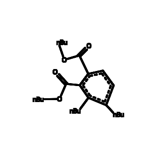 CCCCOC(=O)c1ccc(CCCC)c(CCCC)c1C(=O)OCCCC